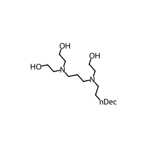 CCCCCCCCCCCCN(CCO)CCCN(CCO)CCO